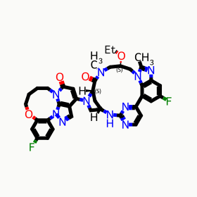 CCO[C@H]1CN(C)C(=O)[C@@H]2C[C@@H](CN2c2cc(=O)n3c4c2cnn4-c2ccc(F)cc2OCCCC3)Nc2nccc(n2)-c2cc(F)cc3nc(C)n(c23)C1